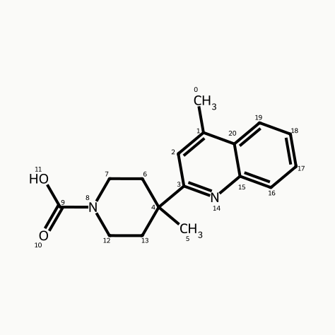 Cc1cc(C2(C)CCN(C(=O)O)CC2)nc2ccccc12